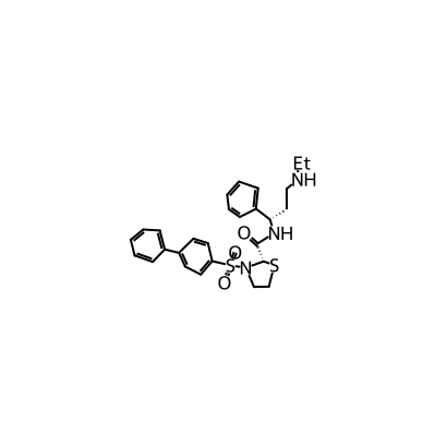 CCNCC[C@H](NC(=O)[C@@H]1SCCN1S(=O)(=O)c1ccc(-c2ccccc2)cc1)c1ccccc1